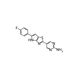 Nc1ncc(-c2nc3[nH]c(-c4ccc(F)cc4)cc3s2)cn1